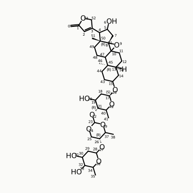 C=C1C=C(C2C(O)C[C@@]34OC35CC[C@@H]3CC(O[C@@H]6CC(O)[C@@H](OC7OC[C@@H](OC8CC(O)C(O)C(C)O8)C(C)O7)C(C)O6)CC[C@@]3(C)C5CC[C@]24C)CO1